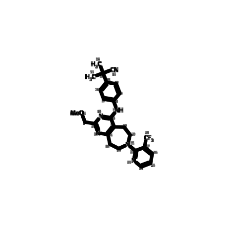 COCc1nc2c(c(Nc3ccc(C(C)(C)C#N)cc3)n1)CCN(c1ncccc1C(F)(F)F)CC2